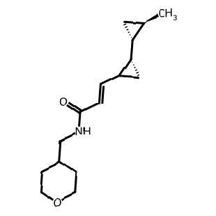 C[C@@H]1C[C@H]1[C@@H]1CC1/C=C/C(=O)NCC1CCOCC1